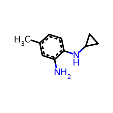 Cc1ccc(NC2CC2)c(N)c1